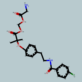 CC(C)(Oc1ccc(CCNC(=O)c2ccc(Cl)cc2)cc1)C(=O)OCOC(=O)CN